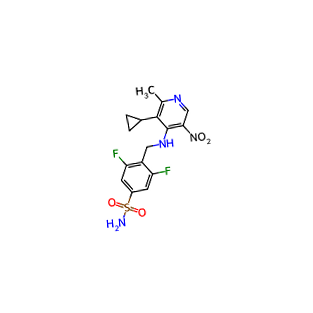 Cc1ncc([N+](=O)[O-])c(NCc2c(F)cc(S(N)(=O)=O)cc2F)c1C1CC1